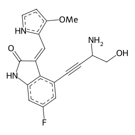 COc1cc[nH]c1C=C1C(=O)Nc2cc(F)cc(C#CC(N)CO)c21